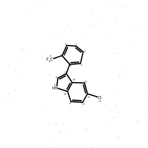 FC(F)(F)c1ccccc1-c1c[nH]c2ccc(Cl)cc12